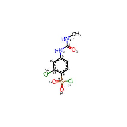 CNC(=O)Nc1ccc(S(=O)(=O)Cl)c(Cl)c1